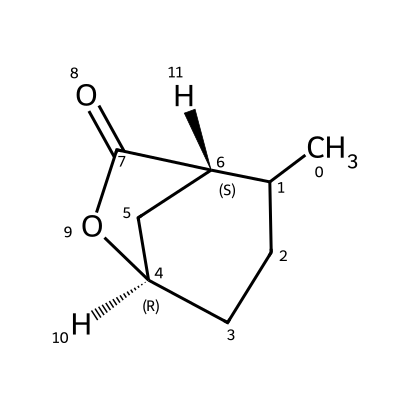 CC1CC[C@@H]2C[C@@H]1C(=O)O2